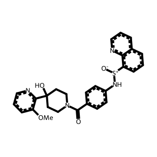 COc1cccnc1C1(O)CCN(C(=O)c2ccc(N[S+]([O-])c3cccc4cccnc34)cc2)CC1